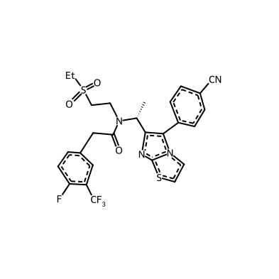 CCS(=O)(=O)CCN(C(=O)Cc1ccc(F)c(C(F)(F)F)c1)[C@H](C)c1nc2sccn2c1-c1ccc(C#N)cc1